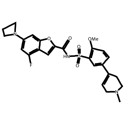 COc1ccc(C2=CCN(C)CC2)cc1S(=O)(=O)NC(=O)c1cc2c(F)cc(N3CCC3)cc2o1